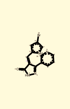 O=C1NN=C(c2cccnc2)/C1=C\c1cc(Br)c[nH]1